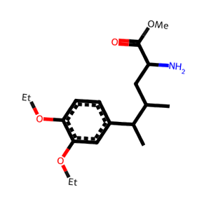 CCOc1ccc(C(C)C(C)CC(N)C(=O)OC)cc1OCC